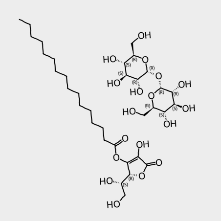 CCCCCCCCCCCCCCCC(=O)OC1=C(O)C(=O)O[C@@H]1[C@@H](O)CO.OC[C@H]1O[C@H](O[C@H]2O[C@H](CO)[C@@H](O)[C@H](O)[C@H]2O)[C@H](O)[C@@H](O)[C@@H]1O